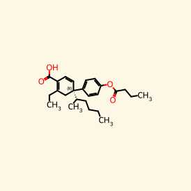 CCCCC(C)[C@@]1(c2ccc(OC(=O)CCC)cc2)C=CC(C(=O)O)=C(CC)C1